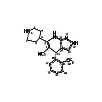 N#CC1=C(C2CCNCC2)Nc2n[nH]cc2C1c1ccccc1C(F)(F)F